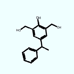 CC(c1ccccc1)c1cc(CO)c(O)c(CO)c1